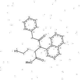 COC(=O)[C@H](CCS)N(C(=O)Cc1ccccc1)c1cccc2ccccc12